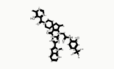 Cc1ncnc(C(=O)N2CCC3(CC2)CC(C)c2c3c(=O)n3nc(-c4cc5cccnc5n4C)nc3n2CC(=O)Nc2ccc(C(F)(F)F)cc2Cl)c1O